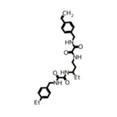 C=Cc1ccc(CNC(=O)C(=O)NCCC(CC)NC(=O)C(=O)NCc2ccc(CC)cc2)cc1